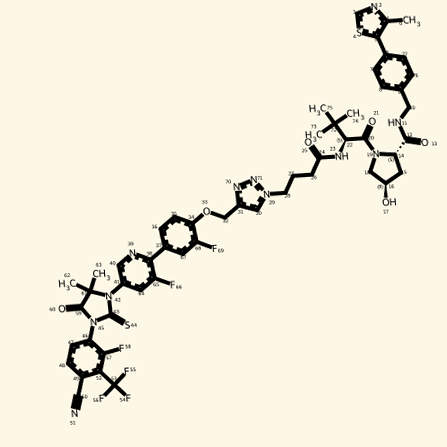 Cc1ncsc1-c1ccc(CNC(=O)[C@@H]2C[C@@H](O)CN2C(=O)[C@@H](NC(=O)CCCn2cc(COc3ccc(-c4ncc(N5C(=S)N(c6ccc(C#N)c(C(F)(F)F)c6F)C(=O)C5(C)C)cc4F)cc3F)nn2)C(C)(C)C)cc1